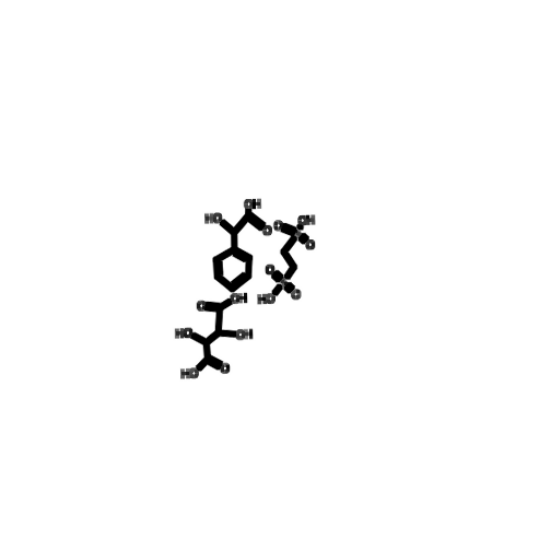 O=C(O)C(O)C(O)C(=O)O.O=C(O)C(O)c1ccccc1.O=S(=O)(O)CCS(=O)(=O)O